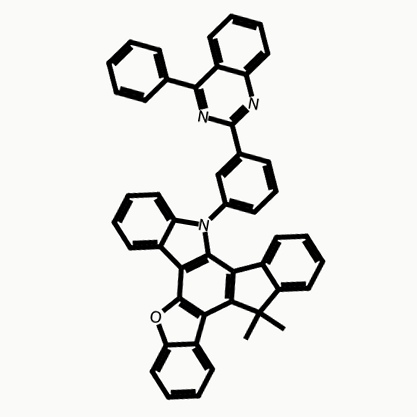 CC1(C)c2ccccc2-c2c1c1c3ccccc3oc1c1c3ccccc3n(-c3cccc(-c4nc(-c5ccccc5)c5ccccc5n4)c3)c21